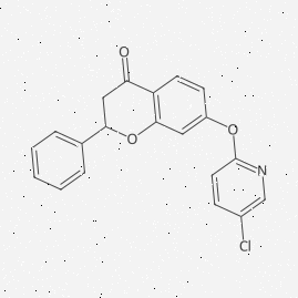 O=C1CC(c2ccccc2)Oc2cc(Oc3ccc(Cl)cn3)ccc21